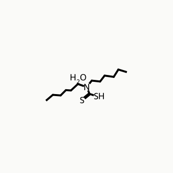 CCCCCCN(CCCCCC)C(=S)S.O